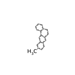 Cc1ccc2cc3ccc4ccccc4c3cc2c1